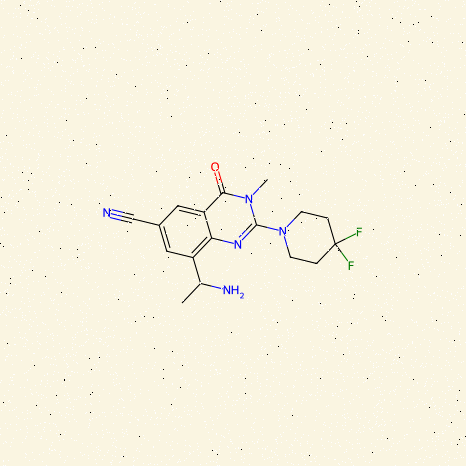 CC(N)c1cc(C#N)cc2c(=O)n(C)c(N3CCC(F)(F)CC3)nc12